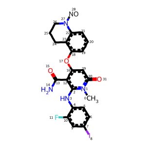 Cn1c(Nc2ccc(I)cc2F)c(C(N)=O)c(Oc2cccc3c2CCCN3N=O)cc1=O